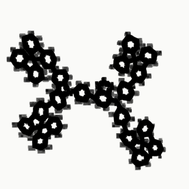 c1ccc2c(c1)-c1ccccc1C21c2ccccc2-c2ccc(-c3ccc(N(c4ccc(-c5ccc6c(c5)C5(c7ccccc7-c7ccccc75)c5ccccc5-6)cc4)c4ccc(-c5ccc(-n6c7ccc(-c8ccc9c(c8)C8(c%10ccccc%10-c%10ccccc%108)c8ccccc8-9)cc7c7cc(-c8ccc9c(c8)C8(c%10ccccc%10-c%10ccccc%108)c8ccccc8-9)ccc76)cc5)c5nsnc45)cc3)cc21